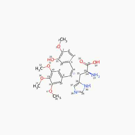 COc1ccc(/C=C\c2cc(OC)c(OC)c(OC)c2)cc1O.N[C@@H](Cc1cnc[nH]1)C(=O)O